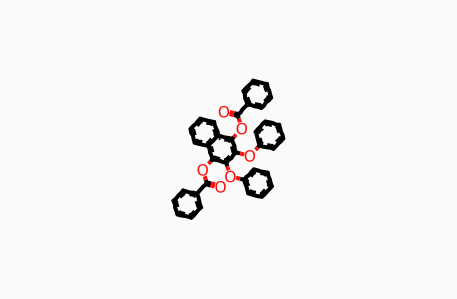 O=C(Oc1c(Oc2ccccc2)c(Oc2ccccc2)c(OC(=O)c2ccccc2)c2ccccc12)c1ccccc1